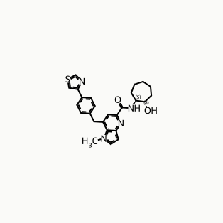 Cn1ccc2nc(C(=O)N[C@H]3CCCCC[C@@H]3O)cc(Cc3ccc(-c4cscn4)cc3)c21